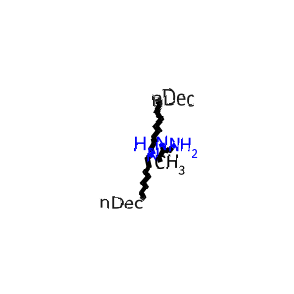 CCCCCCCCCCCCCCCCCCN(CCCCCCCCCCCCCCCCCC)C(C)C(N)CN